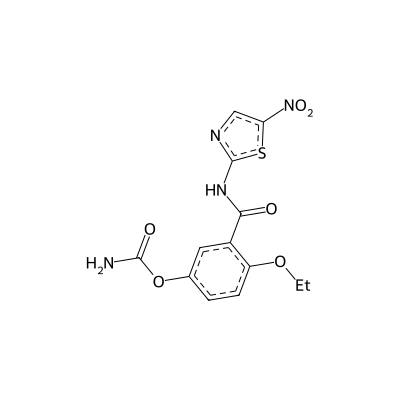 CCOc1ccc(OC(N)=O)cc1C(=O)Nc1ncc([N+](=O)[O-])s1